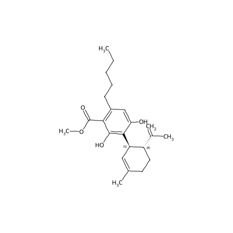 C=C(C)[C@@H]1CCC(C)=C[C@H]1c1c(O)cc(CCCCC)c(C(=O)OC)c1O